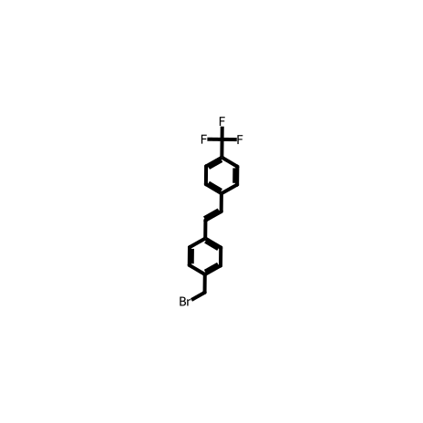 FC(F)(F)c1ccc(C=Cc2ccc(CBr)cc2)cc1